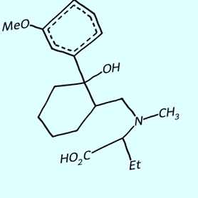 CCC(C(=O)O)N(C)CC1CCCCC1(O)c1cccc(OC)c1